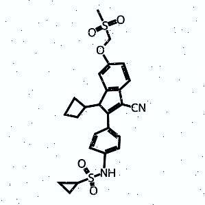 CS(=O)(=O)COc1ccc2c(c1)C(C1CCC1)C(c1ccc(NS(=O)(=O)C3CC3)cc1)=C2C#N